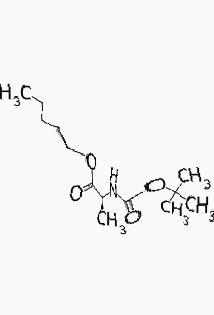 CCCCCOC(=O)[C@H](C)NC(=O)OC(C)(C)C